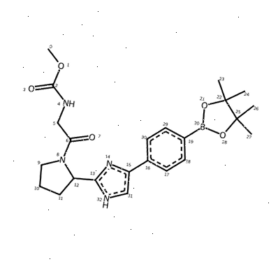 COC(=O)NCC(=O)N1CCCC1c1nc(-c2ccc(B3OC(C)(C)C(C)(C)O3)cc2)c[nH]1